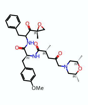 COc1ccc(C[C@H](NC(=O)[C@H](C)CC(=O)CN2C[C@@H](C)O[C@@H](C)C2)C(=O)NC(Cc2ccccc2)C(=O)[C@@]2(C)CO2)cc1